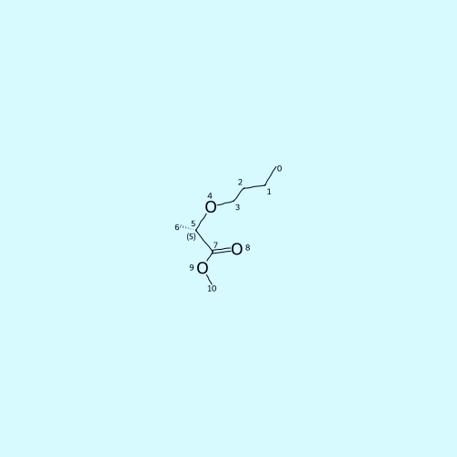 CCCCO[C@@H](C)C(=O)OC